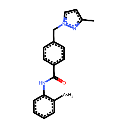 Cc1ccn(Cc2ccc(C(=O)Nc3ccccc3[AsH2])cc2)n1